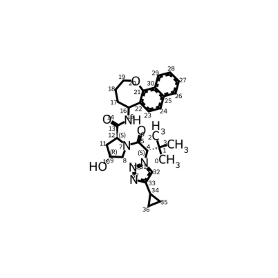 CC(C)(C)[C@@H](C(=O)N1C[C@H](O)C[C@H]1C(=O)NC1CCCOc2c1ccc1ccccc21)n1cc(C2CC2)nn1